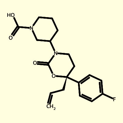 C=CC[C@]1(c2ccc(F)cc2)CCN(C2CCCN(C(=O)O)C2)C(=O)O1